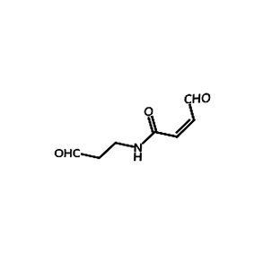 O=C/C=C\C(=O)NCCC=O